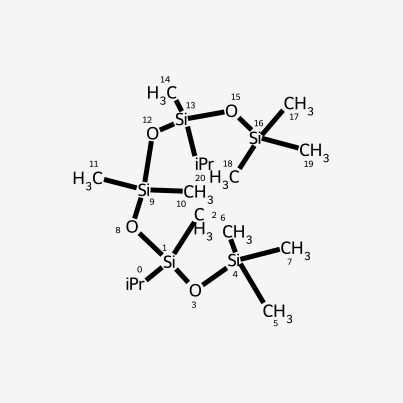 CC(C)[Si](C)(O[Si](C)(C)C)O[Si](C)(C)O[Si](C)(O[Si](C)(C)C)C(C)C